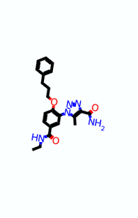 CCNC(=O)c1ccc(OCCCc2ccccc2)c(-n2nnc(C(N)=O)c2C)c1